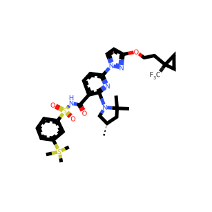 C[C@@H]1CN(c2nc(-n3ccc(OCCC4(C(F)(F)F)CC4)n3)ccc2C(=O)NS(=O)(=O)c2cccc(S(C)(C)C)c2)C(C)(C)C1